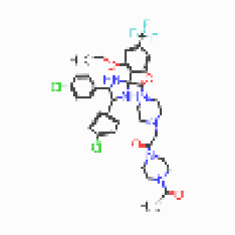 CCOc1cc(C(F)(F)F)ccc1C1(C(=O)N2CCN(CC(=O)N3CCN(C(C)=O)CC3)CC2)NC(c2ccc(Cl)cc2)C(c2ccc(Cl)cc2)N1